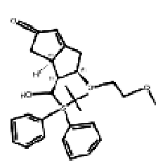 COCCO[C@@H]1CC2=CC(=O)C[C@@H]2[C@@H]1C(O)[Si](c1ccccc1)(c1ccccc1)C(C)(C)C